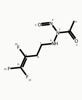 CC(=O)N(N=O)NCCC(F)=C(F)F